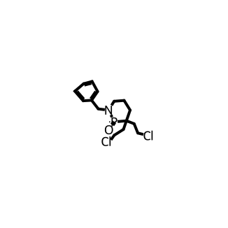 O=[P]1N(Cc2ccccc2)CCCC1(CCCl)CCCl